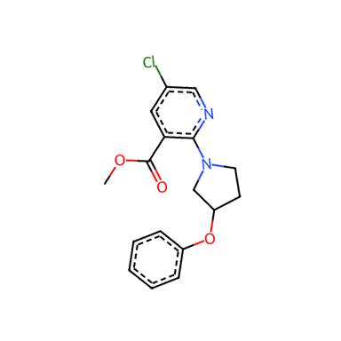 COC(=O)c1cc(Cl)cnc1N1CCC(Oc2ccccc2)C1